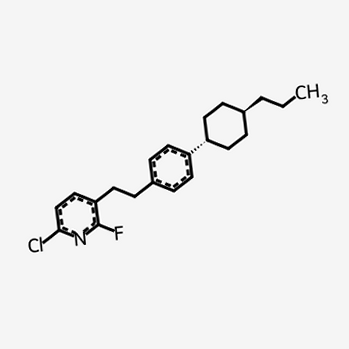 CCC[C@H]1CC[C@H](c2ccc(CCc3ccc(Cl)nc3F)cc2)CC1